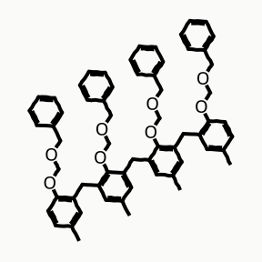 Cc1ccc(OCOCc2ccccc2)c(Cc2cc(C)cc(Cc3cc(C)cc(Cc4cc(C)ccc4OCOCc4ccccc4)c3OCOCc3ccccc3)c2OCOCc2ccccc2)c1